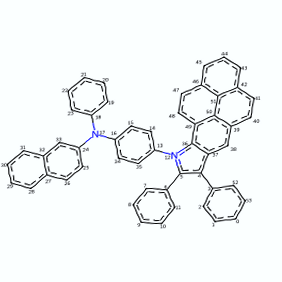 c1ccc(-c2c(-c3ccccc3)n(-c3ccc(N(c4ccccc4)c4ccc5ccccc5c4)cc3)c3c2cc2ccc4cccc5ccc3c2c45)cc1